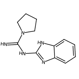 N=C(Nc1nc2ccccc2[nH]1)N1CCCC1